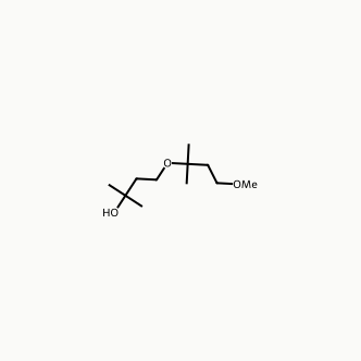 COCCC(C)(C)OCCC(C)(C)O